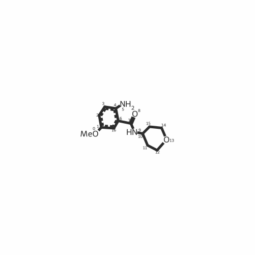 COc1ccc(N)c(C(=O)NC2CCOCC2)c1